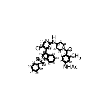 CC(=O)Nc1ccc(C(=O)N2CCC(Nc3ncc(Cl)c(-c4cn(S(=O)(=O)c5ccccc5)c5ccccc45)n3)CC2)c(C)c1